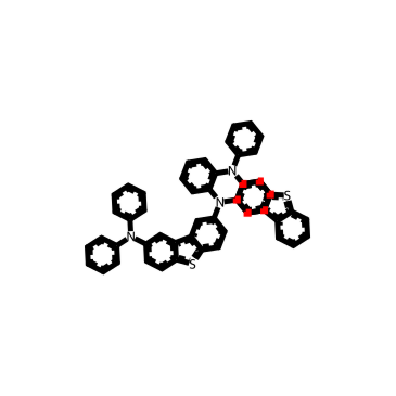 c1ccc(N(c2ccccc2)c2ccc3sc4ccc(N(c5ccc6sc7ccccc7c6c5)c5ccccc5N(c5ccccc5)c5ccccc5)cc4c3c2)cc1